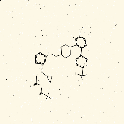 COc1ccc(-c2ccc(C(F)(F)F)nc2)c(N2CCC(COc3cccc([C@@H](CC(=O)OC(=O)C(F)(F)F)C4CC4)c3)CC2)c1